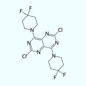 FC1(F)CCN(c2nc(Cl)nc3c(N4CCC(F)(F)CC4)nc(Cl)nc23)CC1